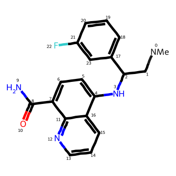 CNCC(Nc1ccc(C(N)=O)c2ncccc12)c1cccc(F)c1